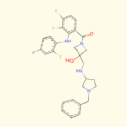 O=C(c1ccc(F)c(F)c1Nc1ccc(I)cc1F)N1CC(O)(CNC2CCN(Cc3ccccc3)C2)C1